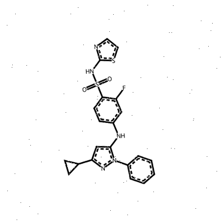 O=S(=O)(Nc1nccs1)c1ccc(Nc2cc(C3CC3)nn2-c2ccccc2)cc1F